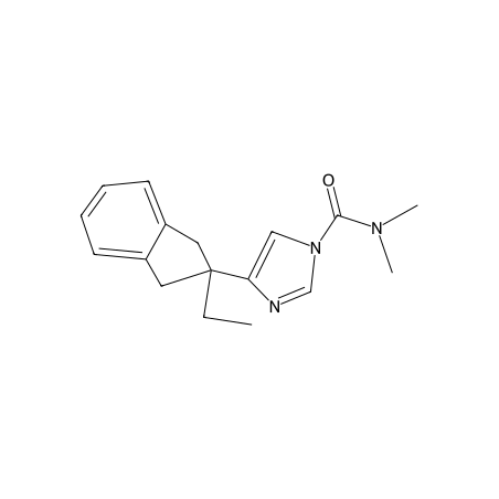 CCC1(c2cn(C(=O)N(C)C)cn2)Cc2ccccc2C1